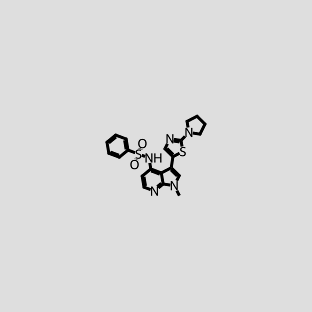 Cn1cc(-c2cnc(N3CCCC3)s2)c2c(NS(=O)(=O)c3ccccc3)ccnc21